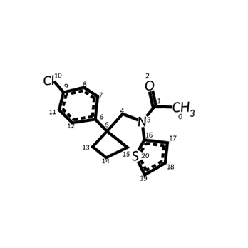 CC(=O)N(CC1(c2ccc(Cl)cc2)CCC1)c1cccs1